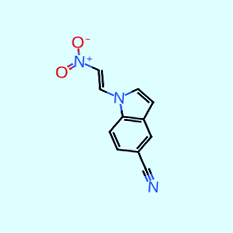 N#Cc1ccc2c(ccn2/C=C/[N+](=O)[O-])c1